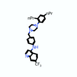 CCCc1ccc(N2CCN(Cc3ccc(Nc4ccnc5cc(C(F)(F)F)ccc45)cc3)CC2)c(CCC)c1